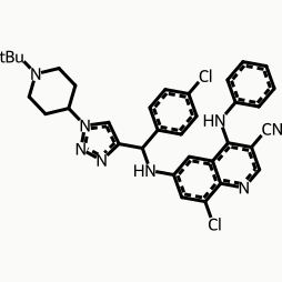 CC(C)(C)N1CCC(n2cc(C(Nc3cc(Cl)c4ncc(C#N)c(Nc5ccccc5)c4c3)c3ccc(Cl)cc3)nn2)CC1